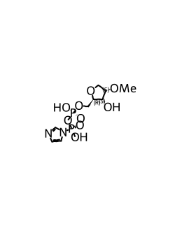 CO[C@H]1CO[C@H](COP(=O)(O)OP(=O)(O)n2ccnc2)[C@H]1O